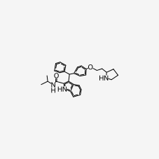 CC(C)NC(=O)c1[nH]c2ccccc2c1C(c1ccccc1)c1ccc(OCCC2CCCN2)cc1